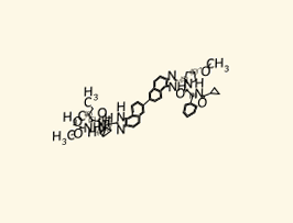 CC[C@H](C)[C@H](NC(=O)OC)C(=O)N1[C@H](c2nc3ccc4cc(-c5ccc6c(ccc7nc([C@@H]8C[C@H](COC)CN8C(=O)[C@H](NC(=O)C8CC8)c8ccccc8)[nH]c76)c5)ccc4c3[nH]2)C2C3[C@H]2[C@@H]31